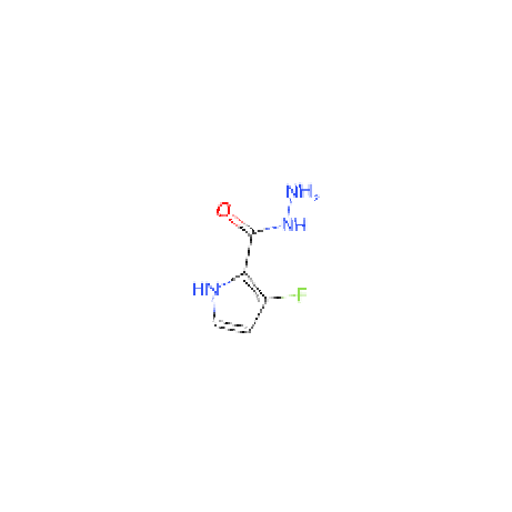 NNC(=O)c1[nH]ccc1F